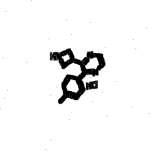 Cc1ccc(-c2nccnc2C2CNC2)cc1.Cl